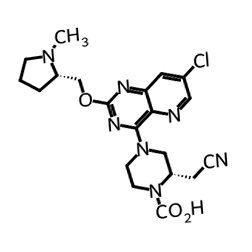 CN1CCC[C@H]1COc1nc(N2CCN(C(=O)O)[C@@H](CC#N)C2)c2ncc(Cl)cc2n1